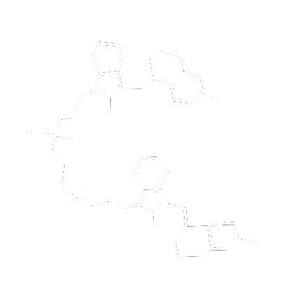 Cc1c(/C=C2\CCCc3c[n+](C)ccc32)c2ccccc2n1CCC[N+](C)(C)CCC[N+](C)(C)CCCn1c(C)c(/C=C2\CCCc3c[n+](C)ccc32)c2ccccc21